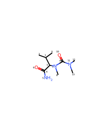 CC(C)C(C(N)=O)N(C)C(=O)N(C)C